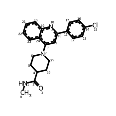 CNC(=O)C1CCN(c2cc(-c3ccc(Cl)cc3)nc3ccccc23)CC1